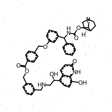 O=C(NC(c1ccccc1)c1cccc(OCc2ccc(C(=O)OCc3cccc(CNC[C@@H](O)c4ccc(O)c5[nH]c(=O)ccc45)c3)cc2)c1)O[C@H]1CN2CCC1CC2